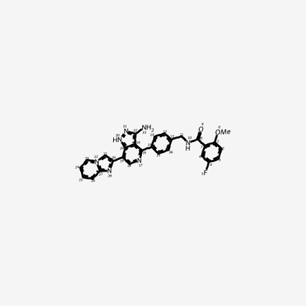 COc1ccc(F)cc1C(=O)NCc1ccc(-c2ncc(-c3cn4ccccc4n3)c3[nH]nc(N)c23)cc1